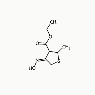 CCOC(=O)C1/C(=N/O)CSC1C